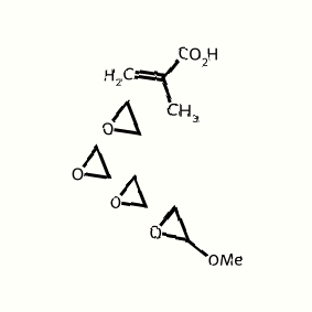 C1CO1.C1CO1.C1CO1.C=C(C)C(=O)O.COC1CO1